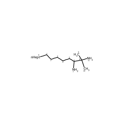 CCCCCCCCCCCCC(N)C(C)(C)N